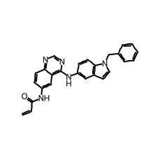 C=CC(=O)Nc1ccc2ncnc(Nc3ccc4c(ccn4Cc4ccccc4)c3)c2c1